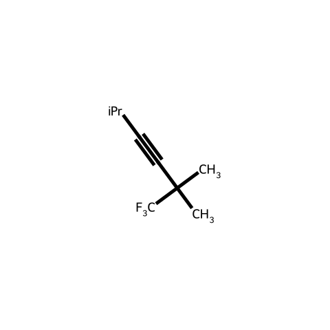 CC(C)C#CC(C)(C)C(F)(F)F